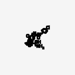 CC(C)([C@H](O)CN)S(=O)(=O)C1(CN2CCn3c(cnc3C(=O)NCc3ccc(Cl)cc3)C2=O)CC1